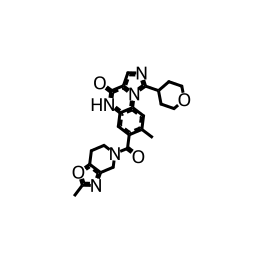 Cc1nc2c(o1)CCN(C(=O)c1cc3[nH]c(=O)c4cnc(C5CCOCC5)n4c3cc1C)C2